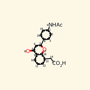 CC(=O)Nc1ccc(-c2cc(=O)c3cccc(CC(=O)O)c3o2)cc1